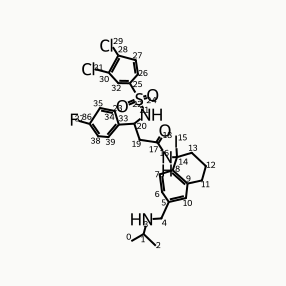 CC(C)NCc1ccc2c(c1)CCCC2(I)NC(=O)CC(NS(=O)(=O)c1ccc(Cl)c(Cl)c1)c1ccc(F)cc1